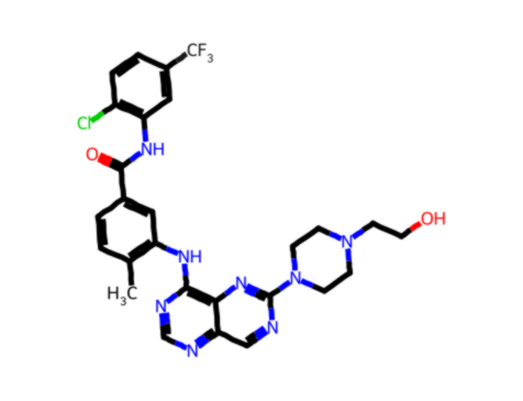 Cc1ccc(C(=O)Nc2cc(C(F)(F)F)ccc2Cl)cc1Nc1ncnc2cnc(N3CCN(CCO)CC3)nc12